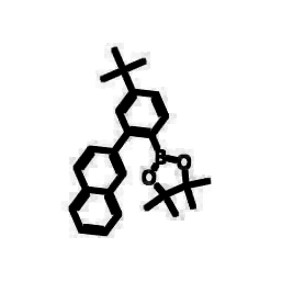 CC(C)(C)c1ccc(B2OC(C)(C)C(C)(C)O2)c(-c2ccc3ccccc3c2)c1